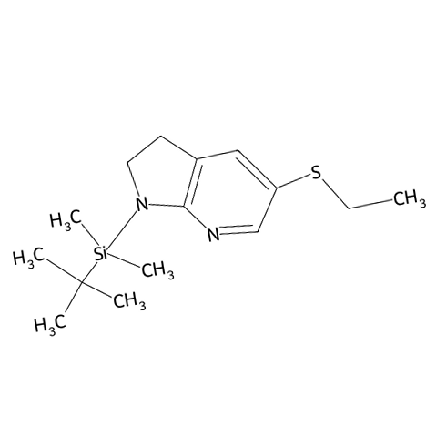 CCSc1cnc2c(c1)CCN2[Si](C)(C)C(C)(C)C